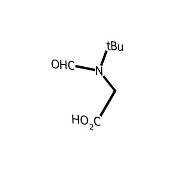 CC(C)(C)N(C=O)CC(=O)O